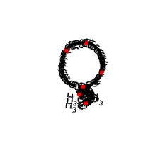 COc1ccc(C(=O)N2CCN(C3CC4(CCCCCCCCCCCCCCCCCCCCCCCCCCCCCCCCCCCCCCCCCCCCCCCCNCC4)C3)C(c3ccccc3C(C)C)C2)cc1